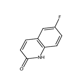 O=c1ccc2cc(F)ccc2[nH]1